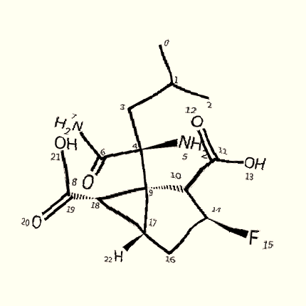 CC(C)C[C@@](N)(C(N)=O)[C@@]12C(C(=O)O)[C@@H](F)C[C@@H]1[C@@H]2C(=O)O